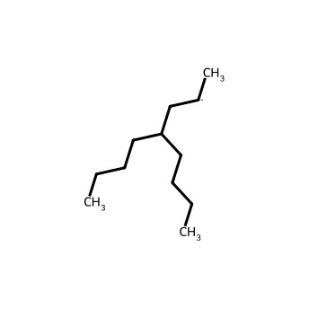 C[CH]CC(CCCC)CCCC